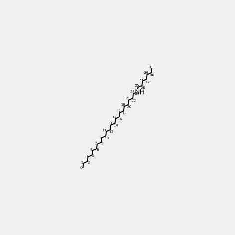 CCCCCCCCCCCCCCCCCCCCCCCCNCCCCCCC